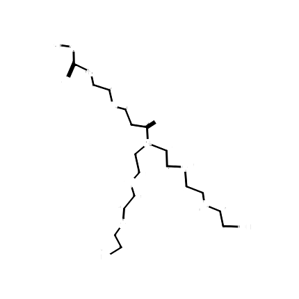 CC(C)(C)OC(=O)NCCOCCC(=O)N(CCOCCOCCO)CCOCCOCCO